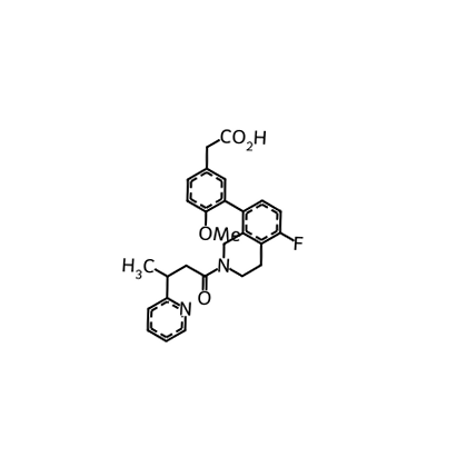 COc1ccc(CC(=O)O)cc1-c1ccc(F)c2c1CN(C(=O)CC(C)c1ccccn1)CC2